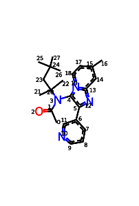 CC(=O)N(c1c(-c2cccnc2)nc2cc(C)ccn12)C(C)(C)CC(C)(C)C